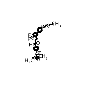 CCCOCCOc1ccc(-c2ccc(OC(F)F)c(/C=C/C(=O)Nc3ccc([S@@+]([O-])Cc4c(C)ncn4CC)cc3)c2)cc1